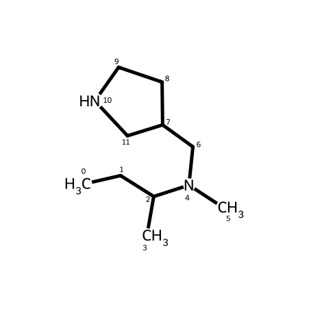 CCC(C)N(C)CC1CCNC1